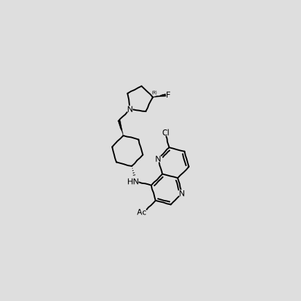 CC(=O)c1cnc2ccc(Cl)nc2c1N[C@H]1CC[C@H](CN2CC[C@@H](F)C2)CC1